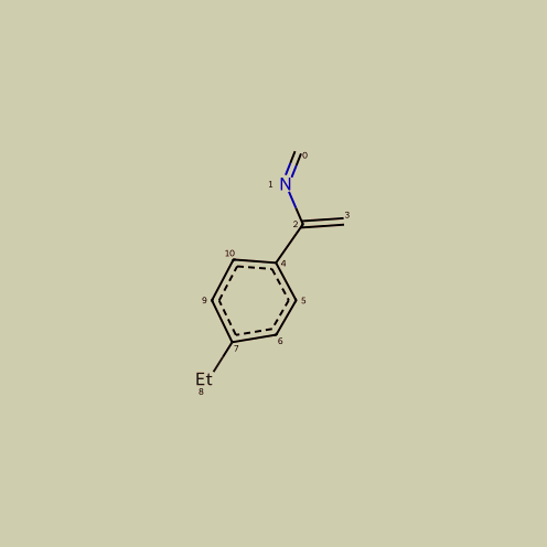 C=NC(=C)c1ccc(CC)cc1